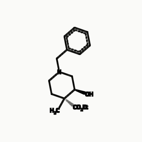 CCOC(=O)[C@]1(C)CCN(Cc2ccccc2)C[C@H]1O